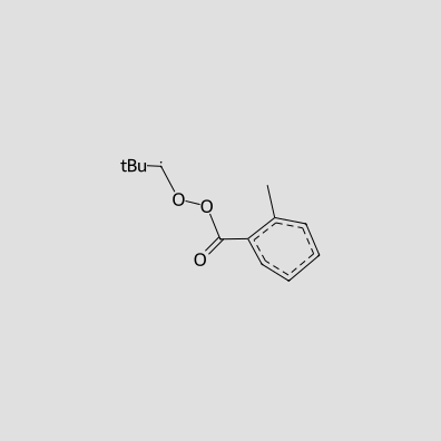 Cc1ccccc1C(=O)OO[CH]C(C)(C)C